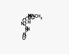 CC(=N)/C=C\c1nnc(Cc2ccc3ncc(-c4cnn(CCN5CCOCC5)c4)cc3c2)[nH]1